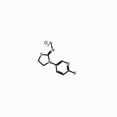 O=[N+]([O-])N=C1SCCN1c1ccc(F)nc1